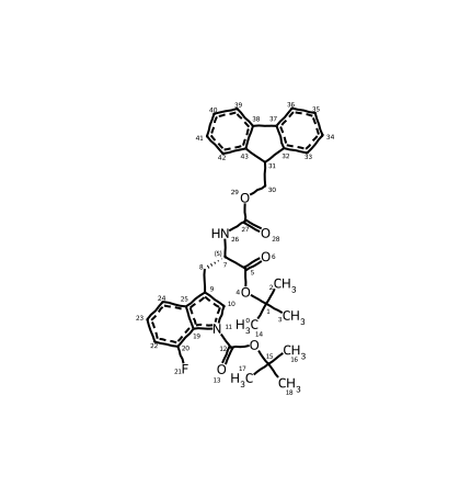 CC(C)(C)OC(=O)[C@H](Cc1cn(C(=O)OC(C)(C)C)c2c(F)cccc12)NC(=O)OCC1c2ccccc2-c2ccccc21